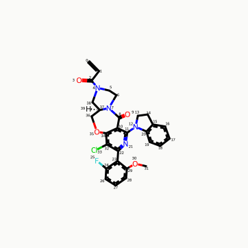 C=CC(=O)N1CCN2C(=O)c3c(N4CCc5ccccc54)nc(-c4c(F)cccc4OC)c(Cl)c3OC[C@H]2C1